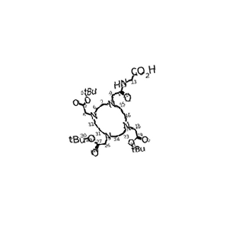 CC(C)(C)OC(=O)CN1CCN(CC(=O)NCC(=O)O)CCN(CC(=O)OC(C)(C)C)CCN(CC(=O)OC(C)(C)C)CC1